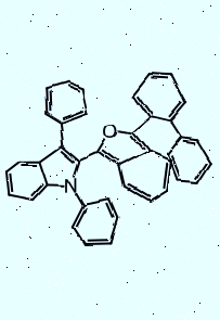 c1ccc(-c2ccccc2-c2oc(-c3c(-c4ccccc4)c4ccccc4n3-c3ccccc3)c3ccccc23)cc1